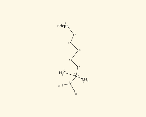 CCCCCCCCCCCC[N+](C)(C)C(I)I